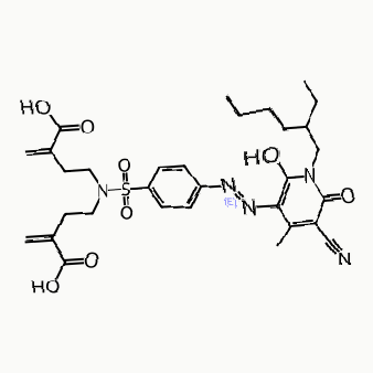 C=C(CCN(CCC(=C)C(=O)O)S(=O)(=O)c1ccc(/N=N/c2c(C)c(C#N)c(=O)n(CC(CC)CCCC)c2O)cc1)C(=O)O